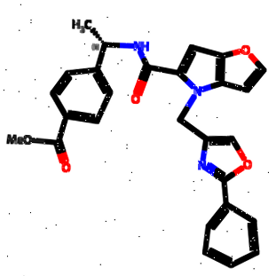 COC(=O)c1ccc([C@H](C)NC(=O)c2cc3occc3n2Cc2coc(-c3ccccc3)n2)cc1